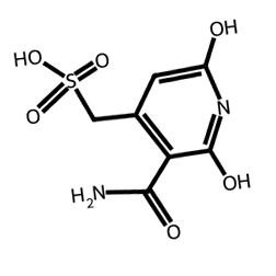 NC(=O)c1c(CS(=O)(=O)O)cc(O)nc1O